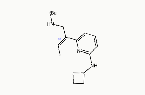 C/C=C(/CNC(C)(C)C)c1cccc(NC2CCC2)n1